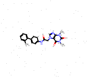 Cc1ccccc1C1=CC=C(NC(=O)Cn2cnc3c2c(=O)n(C)c(=O)n3C)CC1